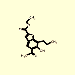 CCCc1c(O)c(C(C)=O)cc2cc(C(=O)OCC)sc12